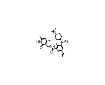 C=Cc1cc(C(=O)NCc2c(C)cc(C)[nH]c2=O)c(C)c(N(CC)C2CCC(N(C)C)CC2)c1